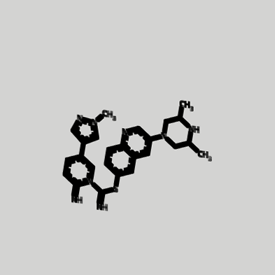 CC1CN(c2cnc3ccc(SC(=N)n4cc(-c5cnn(C)c5)ccc4=N)cc3c2)CC(C)N1